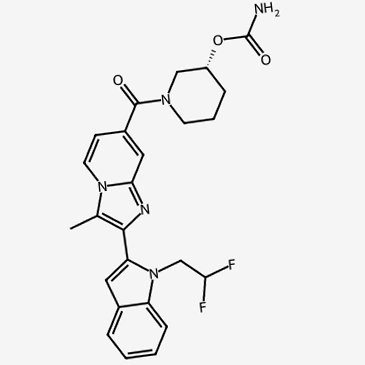 Cc1c(-c2cc3ccccc3n2CC(F)F)nc2cc(C(=O)N3CCC[C@@H](OC(N)=O)C3)ccn12